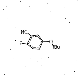 CCC(C)Oc1ccc(F)c(C#N)c1